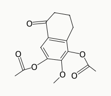 COc1c(OC(C)=O)cc2c(c1OC(C)=O)CCCC2=O